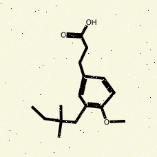 CCC(C)(C)Cc1cc(CCC(=O)O)ccc1OC